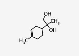 CC1=CCC(C(C)(O)CO)CC1